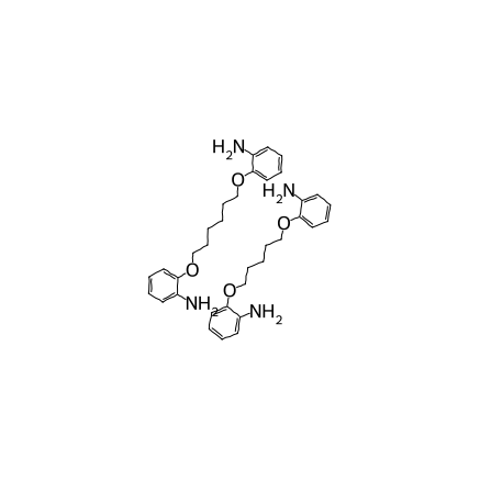 Nc1ccccc1OCCCCCCOc1ccccc1N.Nc1ccccc1OCCCCCOc1ccccc1N